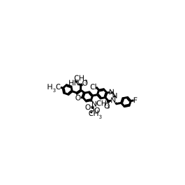 CNC(=O)c1c(-c2ccc(C)cc2)oc2cc(N(C)S(C)(=O)=O)c(-c3cc4c(=O)n(Cc5ccc(F)cc5)nnc4cc3Cl)cc12